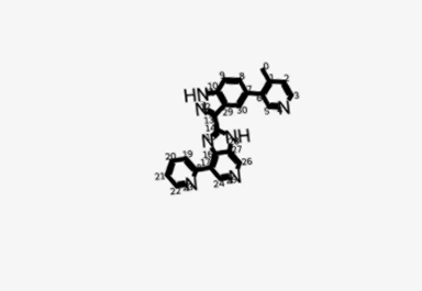 Cc1ccncc1-c1ccc2[nH]nc(-c3nc4c(-c5ccccn5)cncc4[nH]3)c2c1